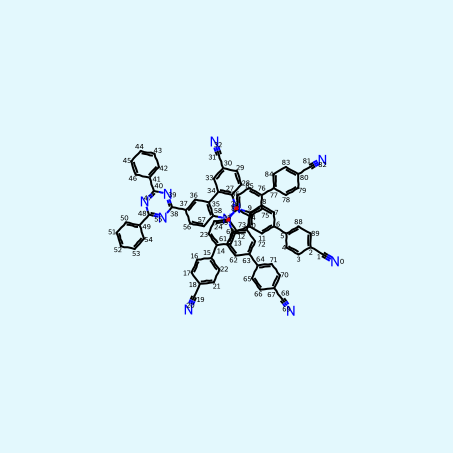 N#Cc1ccc(-c2ccc3c(c2)c2cc(-c4ccc(C#N)cc4)ccc2n3-c2ccc(C#N)cc2-c2cc(-c3nc(-c4ccccc4)nc(-c4ccccc4)n3)ccc2-n2c3ccc(-c4ccc(C#N)cc4)cc3c3cc(-c4ccc(C#N)cc4)ccc32)cc1